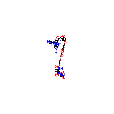 O=C1CCC(N2Cc3c(NC(=O)CCCCCOCCOCCOCCCCCCOc4ccc5c(c4)[C@H](NC(=O)c4cccc(NC6(c7nnc(-c8ccncc8)[nH]7)CCNCC6)c4)CCO5)cccc3C2=O)C(=O)N1